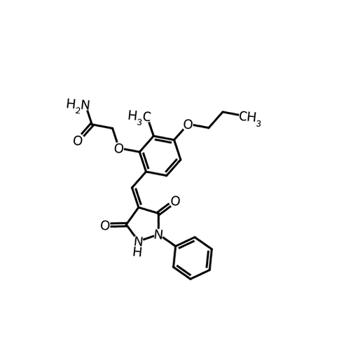 CCCOc1ccc(/C=C2/C(=O)NN(c3ccccc3)C2=O)c(OCC(N)=O)c1C